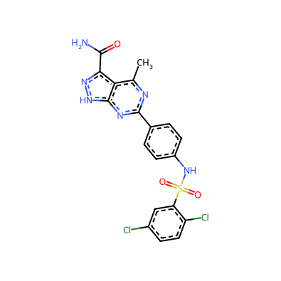 Cc1nc(-c2ccc(NS(=O)(=O)c3cc(Cl)ccc3Cl)cc2)nc2[nH]nc(C(N)=O)c12